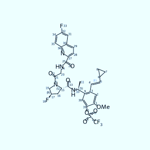 COc1cc(/C=C/C2CC2)c([C@H](C)NC(=O)[C@@H]2C[C@@H](F)CN2C(=O)CNC(=O)c2ccc3cc(F)ccc3n2)cc1OS(=O)(=O)C(F)(F)F